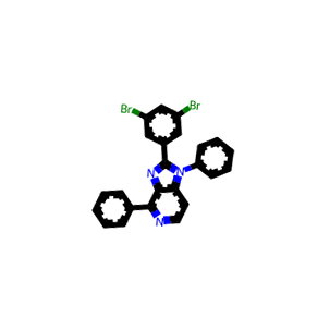 Brc1cc(Br)cc(-c2nc3c(-c4ccccc4)nccc3n2-c2ccccc2)c1